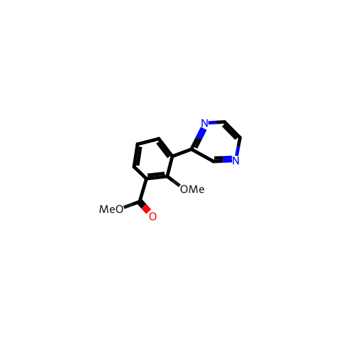 COC(=O)c1cccc(-c2cnccn2)c1OC